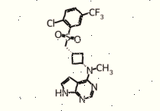 CN(c1ncnc2[nH]ccc12)[C@H]1C[C@@H](CS(=O)(=O)c2cc(C(F)(F)F)ccc2Cl)C1